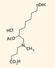 CCCCCCCCCCCCCCCCC(CN(C)CCCC(=O)O)OC(C)=O.Cl